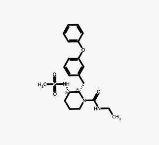 CCNC(=O)N1CCC[C@H](NS(C)(=O)=O)[C@@H]1Cc1cccc(Oc2ccccc2)c1